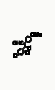 COc1ccc(C(C=O)=C(Cl)c2ccc(Cl)cc2Cl)cc1